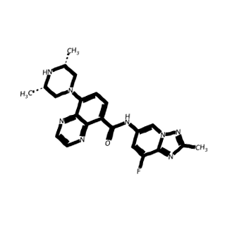 Cc1nc2c(F)cc(NC(=O)c3ccc(N4C[C@@H](C)N[C@@H](C)C4)c4nccnc34)cn2n1